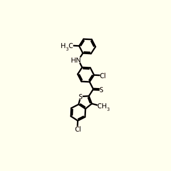 Cc1ccccc1Nc1ccc(C(=S)c2sc3ccc(Cl)cc3c2C)c(Cl)c1